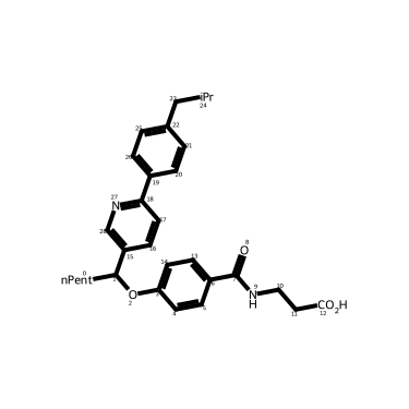 CCCCCC(Oc1ccc(C(=O)NCCC(=O)O)cc1)c1ccc(-c2ccc(CC(C)C)cc2)nc1